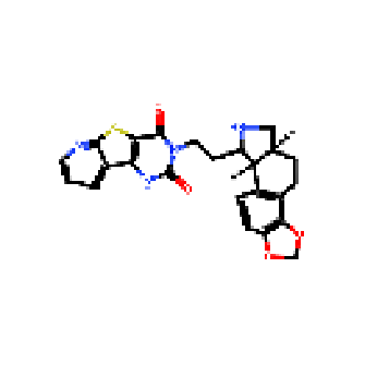 O=c1[nH]c2c(sc3ncccc32)c(=O)n1CCC1NC[C@@H]2CCc3c(ccc4c3OCO4)[C@H]12